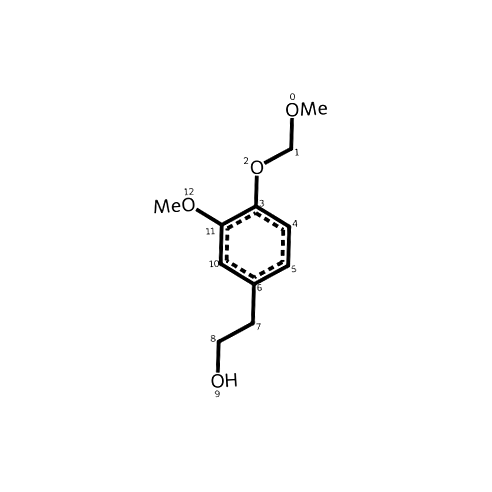 COCOc1ccc(CCO)cc1OC